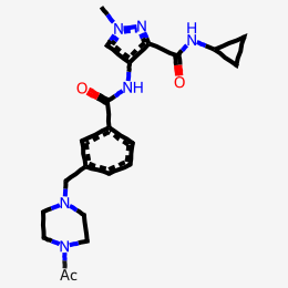 CC(=O)N1CCN(Cc2cccc(C(=O)Nc3cn(C)nc3C(=O)NC3CC3)c2)CC1